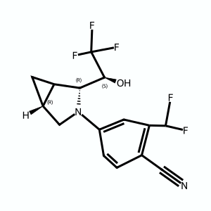 N#Cc1ccc(N2C[C@@H]3CC3[C@@H]2[C@H](O)C(F)(F)F)cc1C(F)F